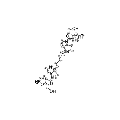 O=[PH](S)O[C@@H]1C(CO)O[C@@H](n2cnc3c(OC/C=C/COc4ncnc5c4ncn5C4OC(CO)[C@@H](O[PH](=O)S)[C@H]4F)ncnc32)[C@@H]1F